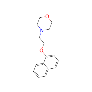 c1ccc2c(OCCN3CCOCC3)cccc2c1